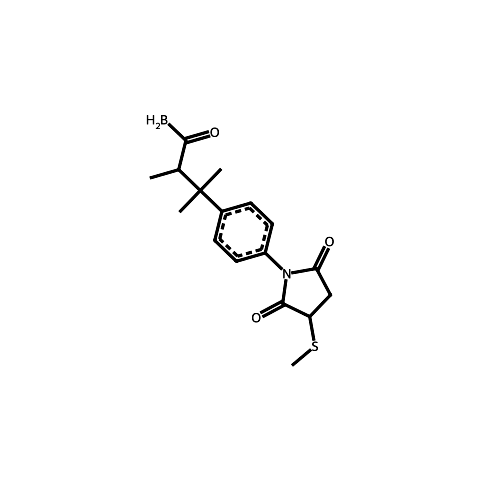 BC(=O)C(C)C(C)(C)c1ccc(N2C(=O)CC(SC)C2=O)cc1